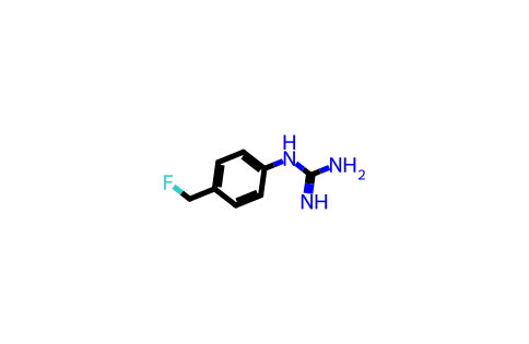 N=C(N)Nc1ccc(CF)cc1